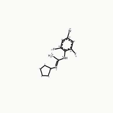 C/C(=N\C1CCCC1)Nc1c(F)cc(Br)cc1F